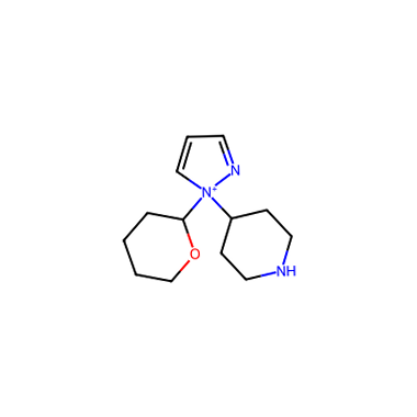 C1=C[N+](C2CCNCC2)(C2CCCCO2)N=C1